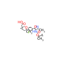 Cc1noc(-c2ccc(C3(C)CC4CC4(CC(=O)O)CO3)c(F)c2)c1NC(=O)O[C@H](C)C1CC1